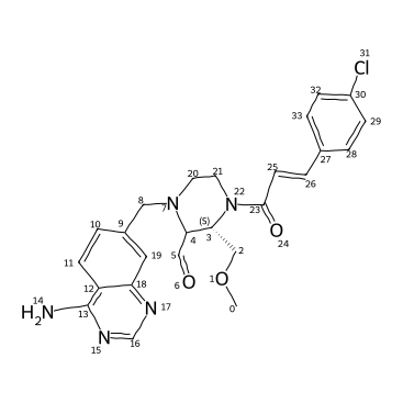 COC[C@@H]1C(C=O)N(Cc2ccc3c(N)ncnc3c2)CCN1C(=O)C=Cc1ccc(Cl)cc1